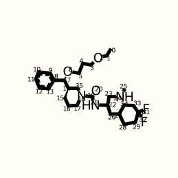 CCOCCCO[C@@H](c1ccccc1)[C@@H]1CCCN(C(=O)NC(CNC)CC2CCC(F)(F)CC2)C1